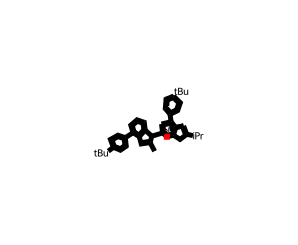 CC1=Cc2c(-c3ccc(C(C)(C)C)cc3)cccc2C1c1cc2c3c(-c4ccc(C(C)(C)C)cc4)c1[Si](C)(C)C3=C(C(C)C)[CH]2